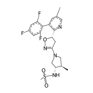 Cc1cnc([C@@H]2CC(N3C[C@@H](C)[C@H](NS(C)(=O)=O)C3)=NO2)c(-c2c(F)cc(F)cc2F)c1